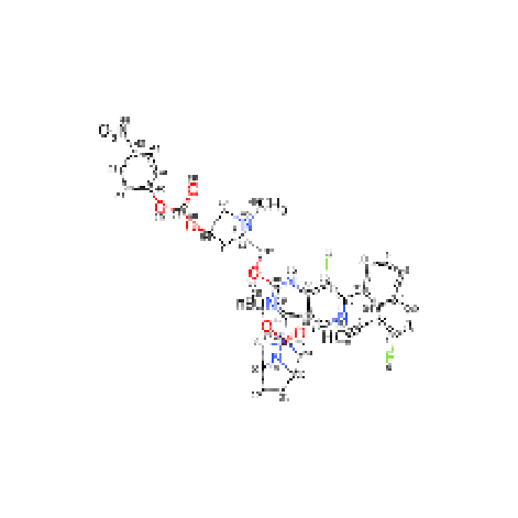 C#Cc1c(F)ccc2cccc(-c3ncc4c(N5CC6CCC(C5)N6C(=O)OCCCC)nc(OC[C@@H]5C[C@@H](OC(=O)Oc6ccc([N+](=O)[O-])cc6)CN5C)nc4c3F)c12